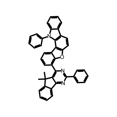 CC1(C)c2ccccc2-c2nc(-c3ccccc3)nc(-c3cccc4c3oc3ccc5c6ccccc6n(-c6ccccc6)c5c34)c21